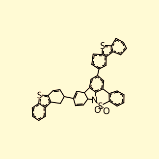 O=S1(=O)c2ccccc2-c2cc(-c3ccc4sc5ccccc5c4c3)cc3c2N1C1C=CC(C2C=Cc4sc5ccccc5c4C2)=CC31